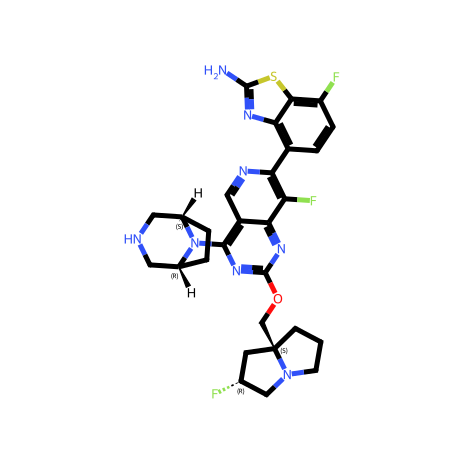 Nc1nc2c(-c3ncc4c(N5[C@@H]6CC[C@H]5CNC6)nc(OC[C@@]56CCCN5C[C@H](F)C6)nc4c3F)ccc(F)c2s1